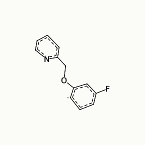 Fc1cc[c]c(OCc2ccccn2)c1